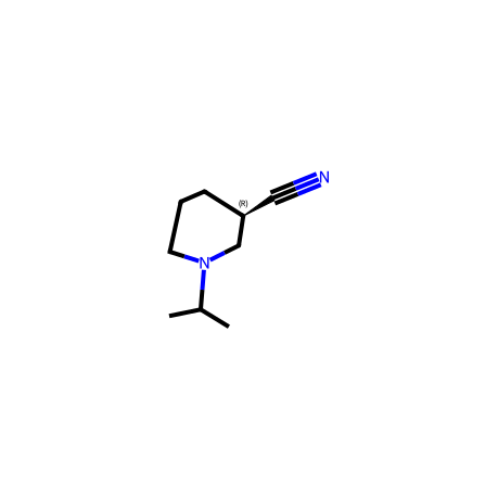 CC(C)N1CCC[C@@H](C#N)C1